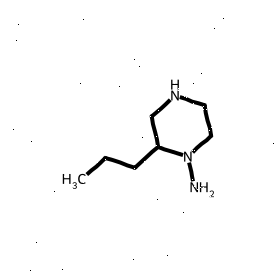 CCCC1CNCCN1N